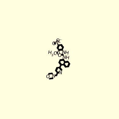 COc1cc([N+](=O)[O-])ccc1NC(=O)Nc1ccc(-c2ccc(CN3CCOCC3)nc2)c2ccccc12